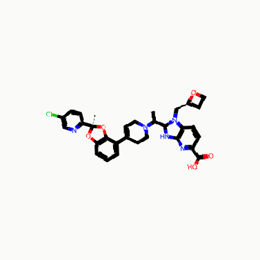 CC(C1Nc2nc(C(=O)O)ccc2N1C[C@@H]1CCO1)N1CC=C(c2cccc3c2O[C@](C)(c2ccc(Cl)cn2)O3)CC1